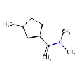 C=C(C1CCC(C)C1)N(C)C